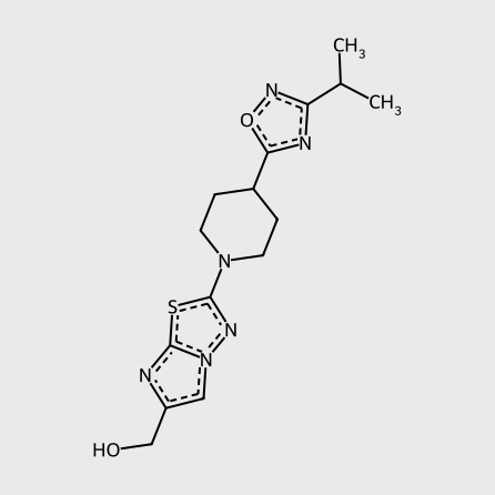 CC(C)c1noc(C2CCN(c3nn4cc(CO)nc4s3)CC2)n1